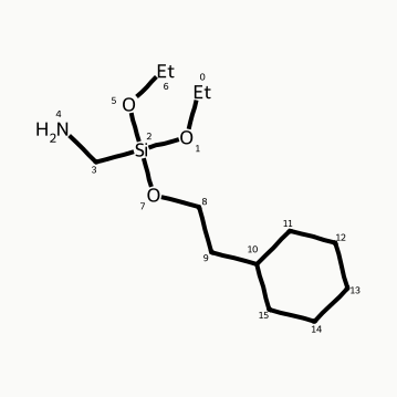 CCO[Si](CN)(OCC)OCCC1CCCCC1